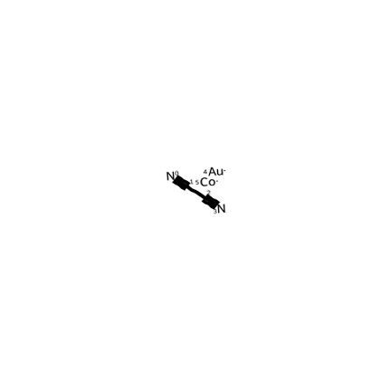 N#CC#N.[Au].[Co]